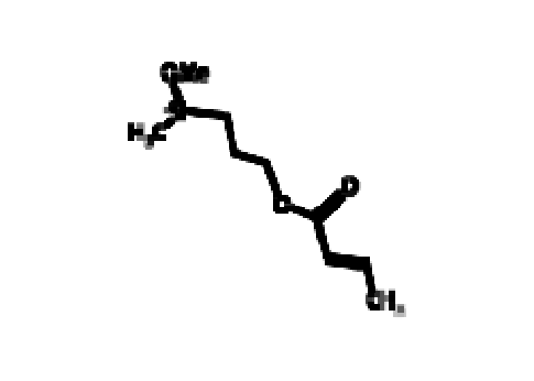 CC=CC(=O)OCCC[Si](C)OC